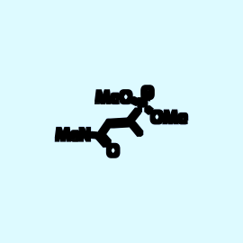 CNC(=O)/C=C(\C)P(=O)(OC)OC